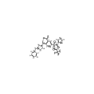 CN(c1cnc(S(=O)(=O)N(OC(=O)C(F)(F)F)c2cscn2)cc1C(F)F)[C@H]1CCN(Cc2ccccc2)C1